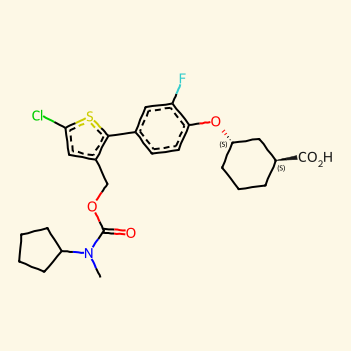 CN(C(=O)OCc1cc(Cl)sc1-c1ccc(O[C@H]2CCC[C@H](C(=O)O)C2)c(F)c1)C1CCCC1